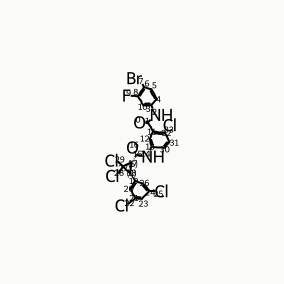 O=C(Nc1ccc(Br)c(F)c1)c1cc(NC(=O)[C@@H]2[C@@H](c3cc(Cl)cc(Cl)c3)C2(Cl)Cl)ccc1Cl